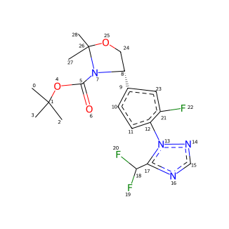 CC(C)(C)OC(=O)N1[C@@H](c2ccc(-n3ncnc3C(F)F)c(F)c2)COC1(C)C